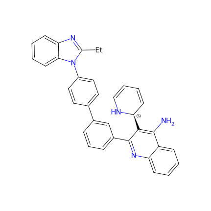 CCc1nc2ccccc2n1-c1ccc(-c2cccc(-c3nc4ccccc4c(N)c3[C@@H]3C=CC=CN3)c2)cc1